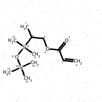 C=CC(=O)OCC(C)[Si](C)(C)O[Si](C)(C)C